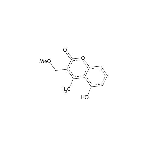 COCc1c(C)c2c(O)cccc2oc1=O